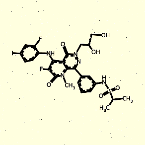 CC(C)S(=O)(=O)Nc1cccc(-c2nn(CC(O)CO)c(=O)c3c(Nc4ccc(I)cc4F)c(F)c(=O)n(C)c23)c1